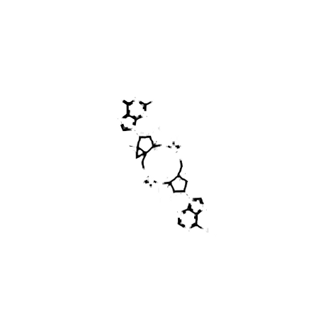 Cc1nc2c(ncn2[C@H]2[C@H](O)[C@@H]3OP(=O)(O)OC[C@H]4C[C@@H](n5cnc6c(N)ncnc65)[C@H](O)[C@@H]4OP(=O)(O)OCC34C[C@H]24)c(=O)[nH]1